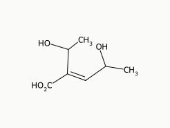 CC(O)C=C(C(=O)O)C(C)O